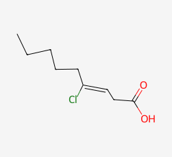 CCCCC/C(Cl)=C/CC(=O)O